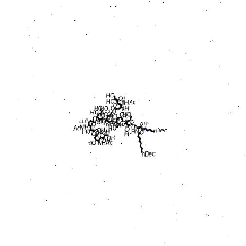 CCCCCCCCCCCCC/C=C/[C@@H](O)[C@H](CO[C@@H]1OC(CO)[C@@H](O[C@@H]2OC(CO)[C@H](O[C@@H]3OC(CO[C@]4(C(=O)O)CC(O)[C@@H](NC(C)=O)C([C@H](O)[C@H](O)CO)O4)[C@H](O)[C@H](O[C@@H]4OC(CO)[C@H](O)[C@H](O[C@]5(C(=O)O)CC(O)[C@@H](NC(C)=O)C([C@H](O)[C@@H](CO)O[C@]6(C(=O)O)CC(O)[C@@H](NC(C)=O)C([C@H](O)[C@H](O)CO)O6)O5)C4O)C3NC(C)=O)[C@H](O)C2O)[C@H](O)C1O)NC(=O)CCCCCCCCCCCCCCCCC